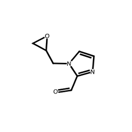 O=Cc1nccn1CC1CO1